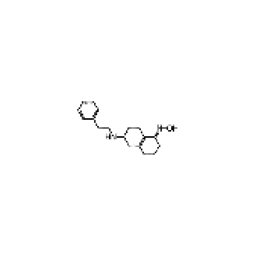 ON=C1CCCC2=C1CCC(NCCc1ccccc1)C2